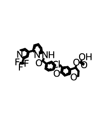 O=C(O)OC1CCOc2cc(Oc3ccc(C(=O)Nc4cccc(-c5ccnc(C(F)(F)F)c5)n4)cc3)c(Cl)cc21